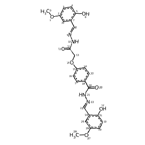 COc1ccc(O)c(/C=N/NC(=O)COc2ccc(C(=O)N/N=C/c3cc(OC)ccc3O)cc2)c1